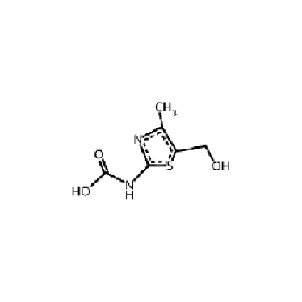 Cc1nc(NC(=O)O)sc1CO